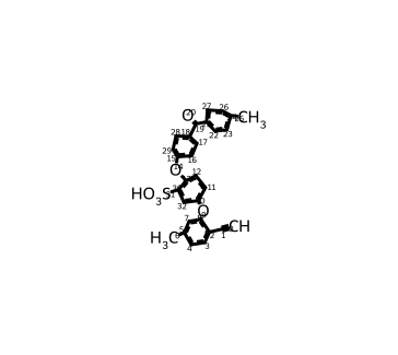 C#Cc1ccc(C)cc1Oc1ccc(Oc2ccc(C(=O)c3ccc(C)cc3)cc2)c(S(=O)(=O)O)c1